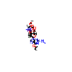 CCCOc1nc(N)nc2c1ncn2[C@@H]1O[C@@H]2CO[PH](O)(NC(C)C(=O)OC)O[C@H]2[C@@]1(C)F